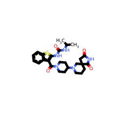 CC(C)NC(=O)Nc1sc2ccccc2c1C(=O)N1CCC(N2CCCC3(CC(=O)NC3=O)C2)CC1